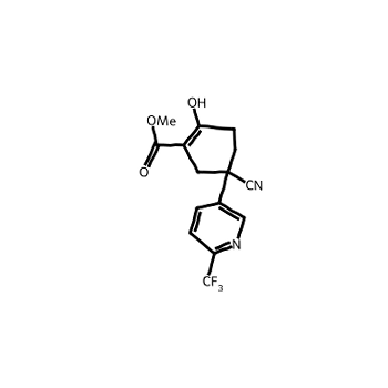 COC(=O)C1=C(O)CCC(C#N)(c2ccc(C(F)(F)F)nc2)C1